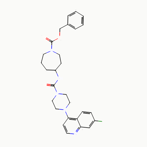 O=C(NC1CCCN(C(=O)OCc2ccccc2)CC1)N1CCN(c2ccnc3cc(Cl)ccc23)CC1